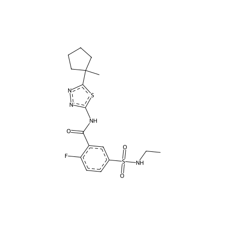 CCNS(=O)(=O)c1ccc(F)c(C(=O)Nc2nnc(C3(C)CCCC3)s2)c1